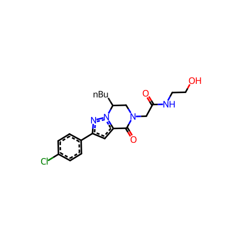 CCCCC1CN(CC(=O)NCCO)C(=O)c2cc(-c3ccc(Cl)cc3)nn21